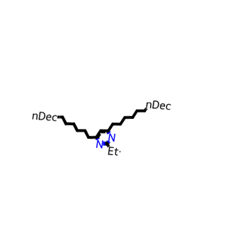 C[CH]c1nc(CCCCCCCCCCCCCCCC)cc(CCCCCCCCCCCCCCCC)n1